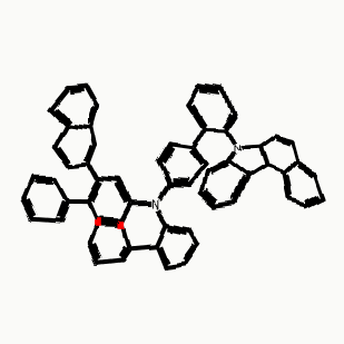 C1=CC2C(c3ccccc31)c1ccccc1N2c1ccccc1-c1ccc(N(c2ccc(-c3ccccc3)c(-c3ccc4ccccc4c3)c2)c2ccccc2-c2ccccc2)cc1